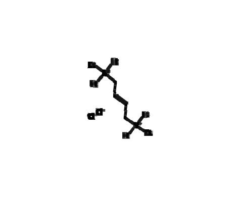 CC[N+](CC)(CC)CC=CC[N+](CC)(CC)CC.[Cl-].[Cl-]